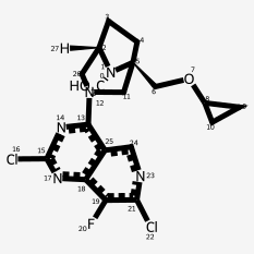 O=C(O)N1[C@H]2CC[C@]1(COC1CC1)CN(c1nc(Cl)nc3c(F)c(Cl)ncc13)C2